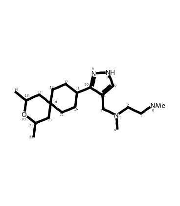 CNCCN(C)Cc1c[nH]nc1C1CCC2(CC1)CC(C)OC(C)C2